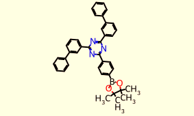 CC1(C)OB(c2ccc(-c3nc(-c4cccc(-c5ccccc5)c4)nc(-c4cccc(-c5ccccc5)c4)n3)cc2)OC1(C)C